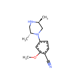 COc1cc(N2C[C@H](C)NC[C@H]2C)ccc1C#N